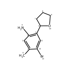 Cc1cc(N)c(C2CCCO2)cc1Br